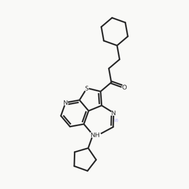 C/C=N\c1c(C(=O)CCC2CCCCC2)sc2nccc(NC3CCCC3)c12